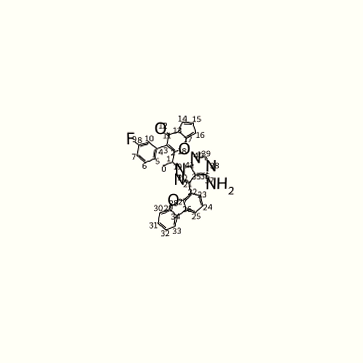 CC(C1=C(c2cccc(F)c2)C(=O)C2C=CC=C2O1)n1nc(-c2cccc3c2oc2ccccc23)c2c(N)ncnc21